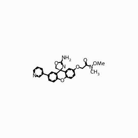 CON(C)C(=O)COc1ccc2c(c1)[C@]1(COC(N)=N1)c1cc(-c3cccnc3)ccc1O2